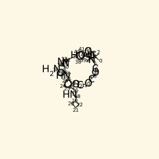 CC(C)(C(=O)O)N1CCOCCOCCOc2c(CNCC3CCC3)cccc2NC(=O)c2nc(cnc2N)-c2ccc(cc2)S1(=O)=O